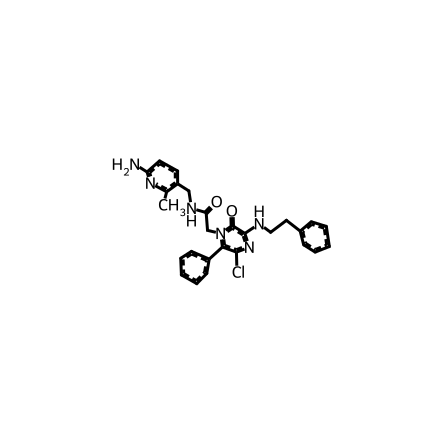 Cc1nc(N)ccc1CNC(=O)Cn1c(-c2ccccc2)c(Cl)nc(NCCc2ccccc2)c1=O